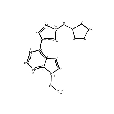 OCn1ccc2c(-c3cnn(CC4CCCC4)c3)ncnc21